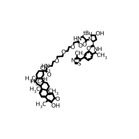 CC1=C(O)C(=O)C=C2C1=CC=C1[C@@]2(C)CC[C@@]2(C)[C@@H]3CC(C)(C(=O)NCCOCCOCCOCC(=O)N[C@H](C(=O)N4C[C@H](O)C[C@H]4C(=O)N[C@@H](C)c4ccc(-c5scnc5C)cc4)C(C)(C)C)CC[C@]3(C)CC[C@]12C